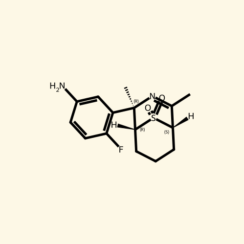 CC1=N[C@](C)(c2cc(N)ccc2F)[C@H]2CCC[C@@H]1S2(=O)=O